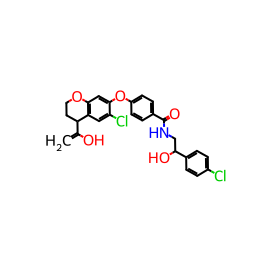 C=C(O)C1CCOc2cc(Oc3ccc(C(=O)NCC(O)c4ccc(Cl)cc4)cc3)c(Cl)cc21